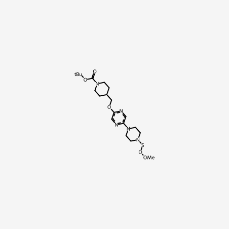 COOSN1CCN(c2cnc(OCC3CCN(C(=O)OC(C)(C)C)CC3)cn2)CC1